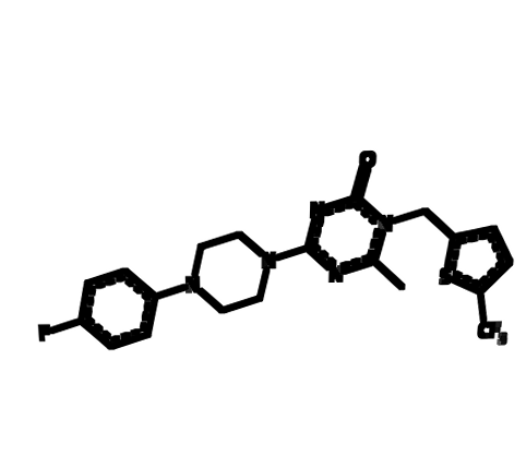 Cc1nc(N2CCN(c3ccc(F)cc3)CC2)nc(=O)n1Cc1ccc(C(F)(F)F)s1